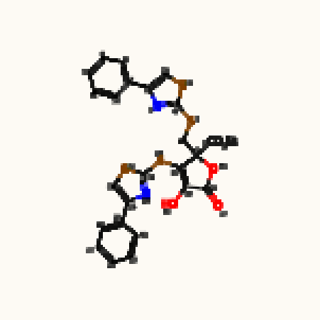 CCOC(=O)C1(CSc2nc(-c3ccccc3)cs2)OC(=O)C(O)=C1Sc1nc(-c2ccccc2)cs1